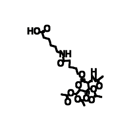 CC(=O)NC1C(OC(C)=O)[C@@H](OC(C)=O)C(COC(C)=O)O[C@H]1OCCCCC(=O)NCCCCCC(=O)O